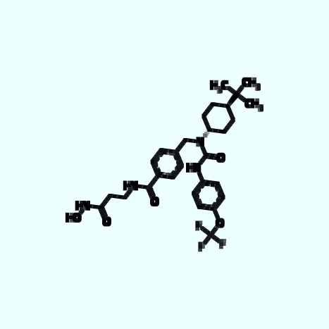 CC(C)(C)[C@H]1CC[C@H](N(Cc2ccc(C(=O)NCCC(=O)NO)cc2)C(=O)Nc2ccc(OC(F)(F)F)cc2)CC1